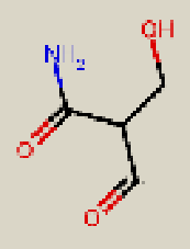 NC(=O)C([C]=O)CO